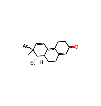 CC[C@H]1[C@@H]2CCC3=CC(=O)CCC3=C2C=C[C@]1(C)C(C)=O